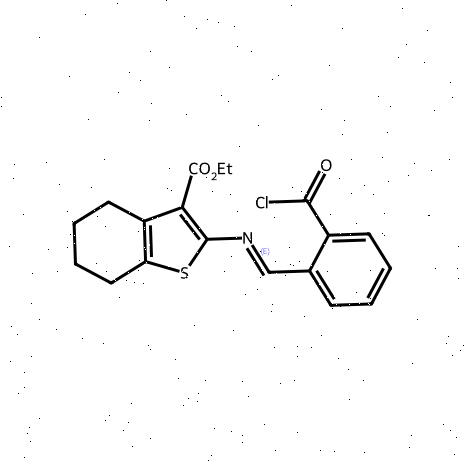 CCOC(=O)c1c(/N=C/c2ccccc2C(=O)Cl)sc2c1CCCC2